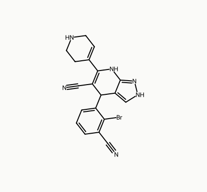 N#CC1=C(C2=CCNCC2)Nc2n[nH]cc2C1c1cccc(C#N)c1Br